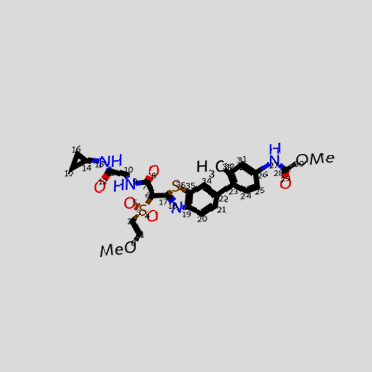 COCCS(=O)(=O)C(C(=O)NCC(=O)NC1CC1)c1nc2ccc(-c3ccc(NC(=O)OC)cc3C)cc2s1